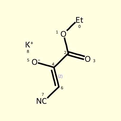 CCOC(=O)/C([O-])=C/C#N.[K+]